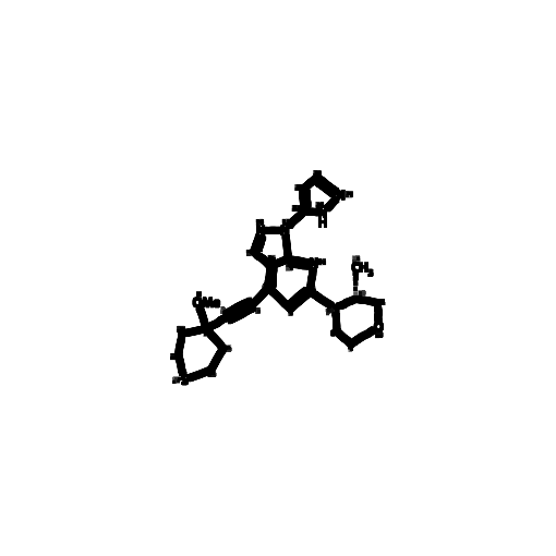 COC1(C#Cc2cc(N3CCOC[C@H]3C)nc3c2cnn3-c2ccn[nH]2)CCSCC1